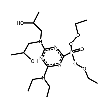 CCOOP(=O)(OOCC)c1nc(N(CC)CC)nc(N(CC(C)O)CC(C)O)n1